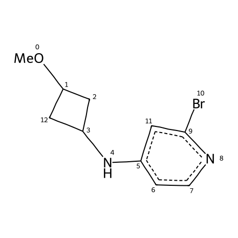 COC1CC(Nc2ccnc(Br)c2)C1